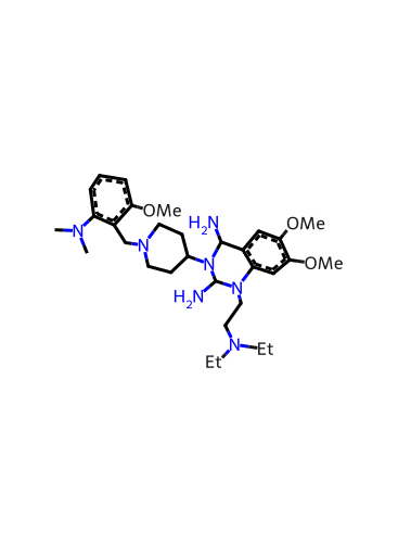 CCN(CC)CCN1c2cc(OC)c(OC)cc2C(N)N(C2CCN(Cc3c(OC)cccc3N(C)C)CC2)C1N